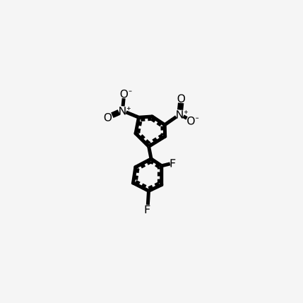 O=[N+]([O-])c1cc(-c2ccc(F)cc2F)cc([N+](=O)[O-])c1